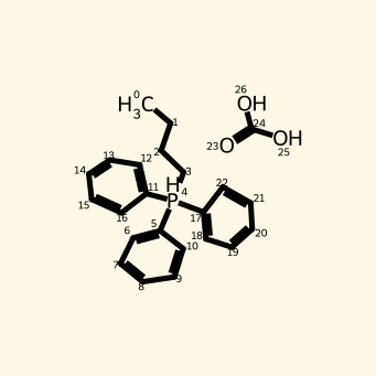 CCCC[PH](c1ccccc1)(c1ccccc1)c1ccccc1.O=C(O)O